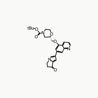 CC(C)(C)OC(=O)N1CCO[C@H](COc2cc(-c3cc4n(c3)CCC4=O)cc3ncccc23)C1